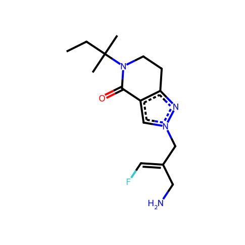 CCC(C)(C)N1CCc2nn(CC(=CF)CN)cc2C1=O